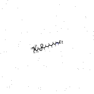 CC/C=C/CCCCCCCC(=O)OCCC(C)N(C)C